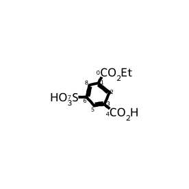 CCOC(=O)c1cc(C(=O)O)cc(S(=O)(=O)O)c1